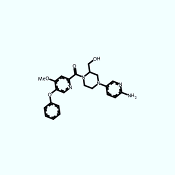 COc1cc(C(=O)N2CCN(c3ccc(N)nc3)CC2CO)ncc1Oc1ccccc1